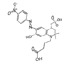 CC1(C)CC(CS(=O)(=O)O)c2cc(N=Nc3ccc([N+](=O)[O-])cc3)c(O)cc2N1CCCC(=O)O